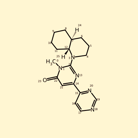 Cn1c(N2CCC[C@@H]3CCCC[C@H]32)nc(-c2ccncn2)cc1=O